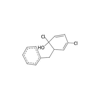 OC1(Cl)C=CC(Cl)=CC1Cc1ccccc1